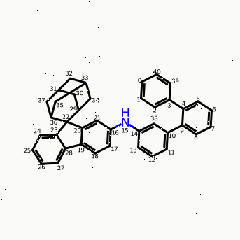 c1ccc(-c2ccccc2-c2cccc(Nc3ccc4c(c3)C3(c5ccccc5-4)C4CC5CC(C4)CC3C5)c2)cc1